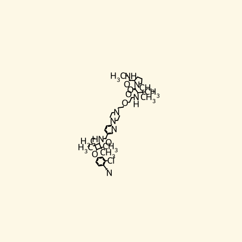 CNC(=O)C1CCCN1C(=O)C(NC(=O)COCCN1CCN(c2ccc(C(=O)NC3C(C)(C)C(Oc4ccc(C#N)c(Cl)c4)C3(C)C)cn2)CC1)C(C)(C)C